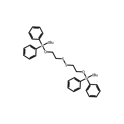 CC(C)(C)[Si](OCCSSCCO[Si](c1ccccc1)(c1ccccc1)C(C)(C)C)(c1ccccc1)c1ccccc1